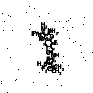 CC(C)n1nc(-c2ccc(CC(=O)Nc3cc(C(C)(C)C(F)(F)F)n(C)n3)c(F)c2)c(C(N)=O)c1N